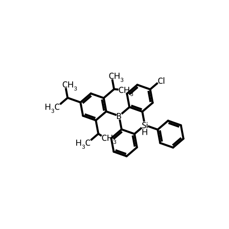 CC(C)c1cc(C(C)C)c(B2c3ccccc3[SiH](c3ccccc3)c3cc(Cl)ccc32)c(C(C)C)c1